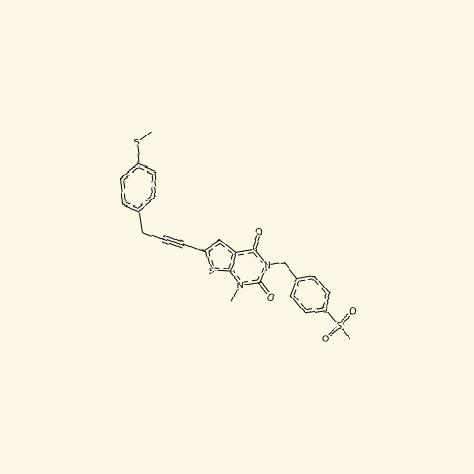 CSc1ccc(CC#Cc2cc3c(=O)n(Cc4ccc(S(C)(=O)=O)cc4)c(=O)n(C)c3s2)cc1